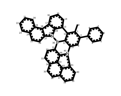 Cc1c(-c2ccccc2)cc2c3c1-c1cccc4c5c6ccccc6ccc5n(c14)B3c1ccc3ccc4cccc5c4c3c1n5-2